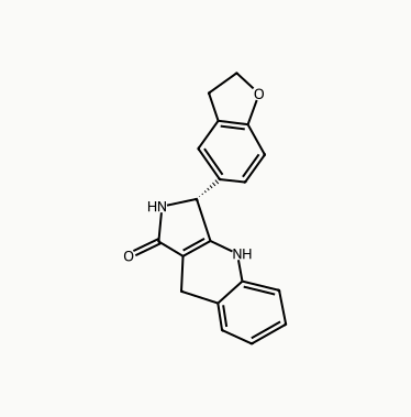 O=C1N[C@H](c2ccc3c(c2)CCO3)C2=C1Cc1ccccc1N2